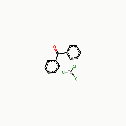 O=C(c1ccccc1)c1ccccc1.[Cl][Fe]([Cl])[Cl]